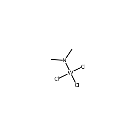 C[N](C)[W]([Cl])([Cl])[Cl]